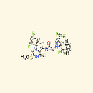 CSc1cnc([C@H](Cc2cc(F)cc(F)c2)NC(=O)Cn2nc(C(F)F)c3c2C(F)(F)[C@@H]2C#C[C@H]32)c(Cl)n1